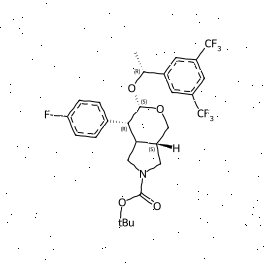 C[C@@H](O[C@@H]1OC[C@@H]2CN(C(=O)OC(C)(C)C)CC2[C@@H]1c1ccc(F)cc1)c1cc(C(F)(F)F)cc(C(F)(F)F)c1